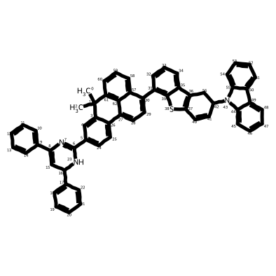 CC1(C)c2cc(C3=NC(c4ccccc4)=CC(c4ccccc4)N3)ccc2-c2ccc(-c3cccc4c5c(sc34)C=CC(n3c4ccccc4c4ccccc43)C5)c3cccc1c23